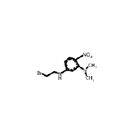 CN(C)c1cc(NCCBr)ccc1[N+](=O)[O-]